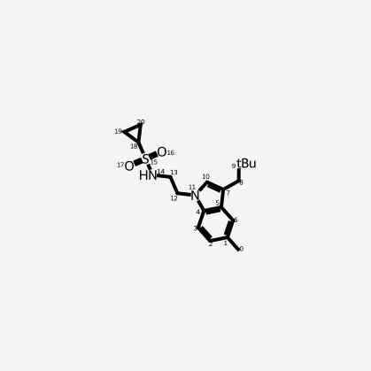 Cc1ccc2c(c1)c(CC(C)(C)C)cn2CCNS(=O)(=O)C1CC1